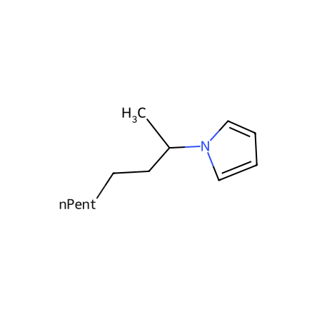 CCCCCCCC(C)n1cccc1